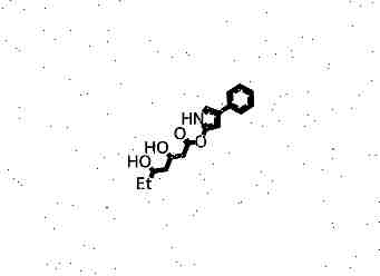 CCC(O)CC(O)CC(=O)Oc1cc(-c2ccccc2)c[nH]1